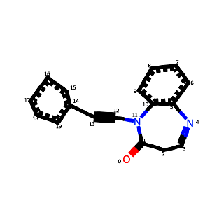 O=C1CC=Nc2ccccc2N1C#Cc1ccccc1